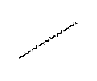 CCCOCCOCCOCCOCCOCCOCCOCCOCCNC